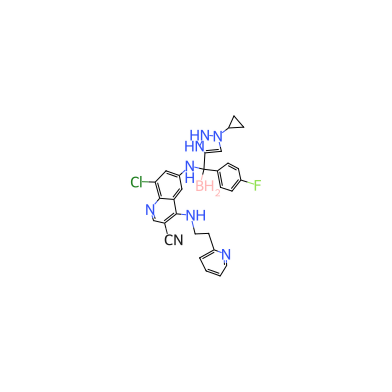 BC(Nc1cc(Cl)c2ncc(C#N)c(NCCc3ccccn3)c2c1)(C1=CN(C2CC2)NN1)c1ccc(F)cc1